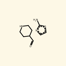 Nc1nccs1.O=CC1CCNCC1